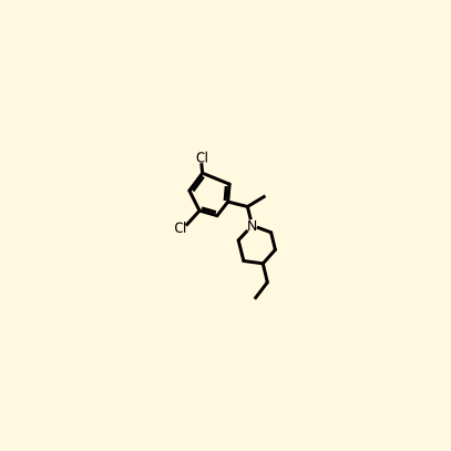 CCC1CCN(C(C)c2cc(Cl)cc(Cl)c2)CC1